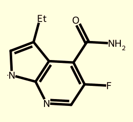 CCC1=C[N]c2ncc(F)c(C(N)=O)c21